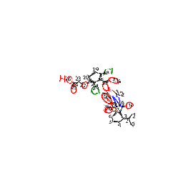 CC(C)c1cccc2c1C(=O)N(COC(=O)c1c(Cl)ccc(OCC(=O)O)c1Cl)S2(=O)=O